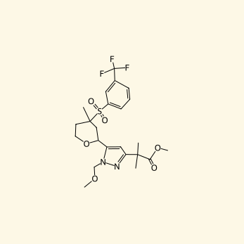 COCn1nc(C(C)(C)C(=O)OC)cc1C1CC(C)(S(=O)(=O)c2cccc(C(F)(F)F)c2)CCO1